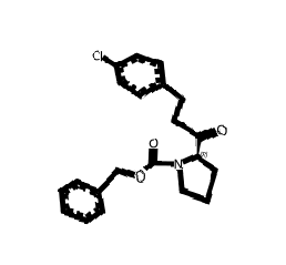 O=C(CCc1ccc(Cl)cc1)[C@H]1CCCN1C(=O)OCc1ccccc1